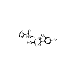 O=C(NC[C@H](NC(=O)c1ccc(Br)cc1Cl)C(=O)O)c1cccs1